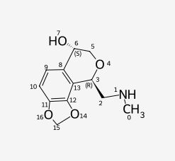 CNC[C@@H]1OC[C@@H](O)c2ccc3c(c21)OCO3